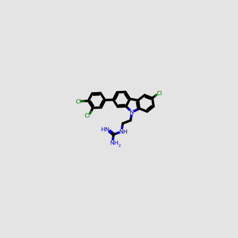 N=C(N)NCCn1c2ccc(Cl)cc2c2ccc(-c3ccc(Cl)c(Cl)c3)cc21